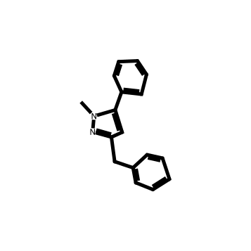 Cn1nc(Cc2ccccc2)cc1-c1ccccc1